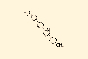 Cc1ccc(-c2ccc(-c3ccc(C4CCC(C)CC4)cn3)cc2)cc1